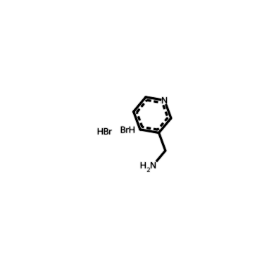 Br.Br.NCc1cccnc1